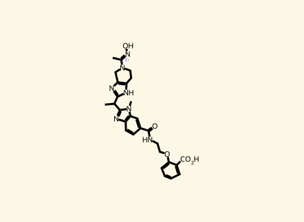 C/C(=N\O)N1CCc2[nH]c(C(C)c3nc4ccc(C(=O)NCCOc5ccccc5C(=O)O)cc4n3C)nc2C1